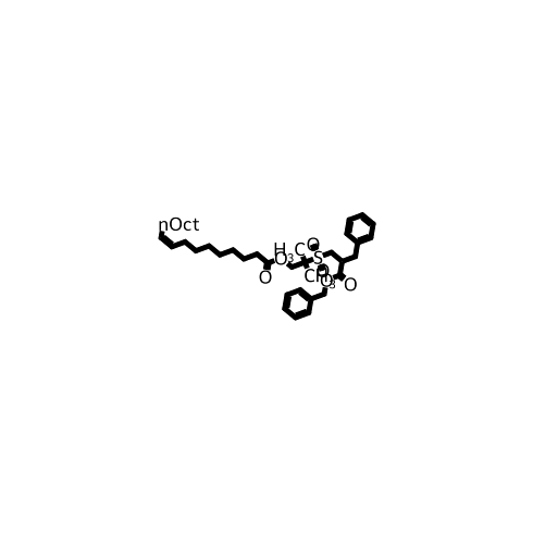 CCCCCCCC/C=C\CCCCCCCC(=O)OCC(C)(C)S(=O)(=O)CC(Cc1ccccc1)C(=O)OCc1ccccc1